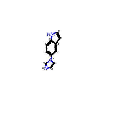 c1cn(-c2ccc3[nH]ccc3c2)cn1